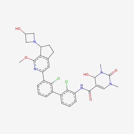 COc1nc(-c2cccc(-c3cccc(NC(=O)C4=CN(C)C(=O)N(C)C4O)c3Cl)c2Cl)cc2c1C(N1CC(O)C1)CC2